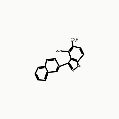 COc1c(C(=O)O)ccc2[nH]nc(-c3ccc4ccccc4c3)c12